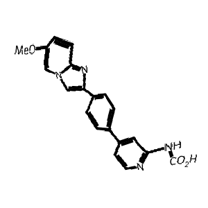 COc1ccc2nc(-c3ccc(-c4ccnc(NC(=O)O)c4)cc3)cn2c1